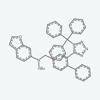 CCCCN(Cc1ccc(-c2ccccc2)c(-c2nnnn2C(c2ccccc2)(c2ccccc2)c2ccccc2)c1)c1ccc2ccoc2c1